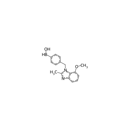 COc1cccc2nc(C)n(Cc3ccc(BO)cc3)c12